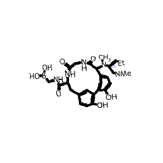 CC/C=C(\CNC)N(C)C1C(=O)NCC(=O)NC(C(=O)NCB(O)O)Cc2ccc(O)c(c2)-c2cc1ccc2O